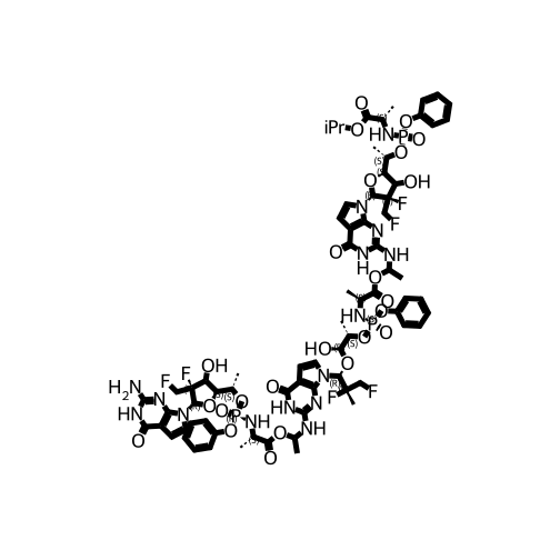 CC(C)OC(=O)[C@H](C)NP(=O)(Oc1ccccc1)O[C@@H](C)[C@H]1O[C@@H](n2ccc3c(=O)[nH]c(NC(C)OC(=O)[C@H](C)N[P@@](=O)(Oc4ccccc4)O[C@@H](C)[C@H](O)O[C@@H](n4ccc5c(=O)[nH]c(NC(C)OC(=O)[C@H](C)N[P@](=O)(Oc6ccccc6)O[C@@H](C)[C@H]6O[C@@H](n7ccc8c(=O)[nH]c(N)nc87)[C@@](F)(CF)C6O)nc54)[C@@](C)(F)CF)nc32)[C@@](F)(CF)C1O